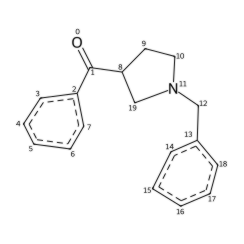 O=C(c1ccccc1)C1CCN(Cc2ccccc2)C1